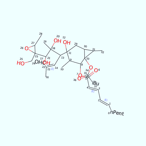 CCCCC/C=C/C=C/C(=O)OC1C(C)C(O)(C(/C=C(/C)C=O)C(C)(O)C(O)C2(CO)OC2C)CC2C(C)C21OC(=O)C(C)CC